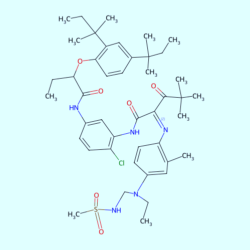 CCC(Oc1ccc(C(C)(C)CC)cc1C(C)(C)CC)C(=O)Nc1ccc(Cl)c(NC(=O)/C(=N\c2ccc(N(CC)CNS(C)(=O)=O)cc2C)C(=O)C(C)(C)C)c1